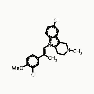 COc1ccc(/C(C)=C/n2c3c(c4cc(Cl)ccc42)CN(C)CC3)cc1Cl